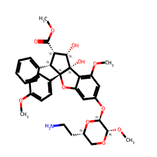 COC(=O)[C@H]1[C@@H](c2ccccc2)[C@@]2(c3ccc(OC)cc3)Oc3cc(O[C@@H]4O[C@@H](CCN)CO[C@H]4OC)cc(OC)c3[C@]2(O)[C@H]1O